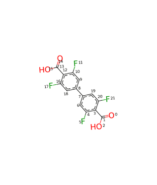 O=C(O)c1c(F)cc(-c2cc(F)c(C(=O)O)c(F)c2)cc1F